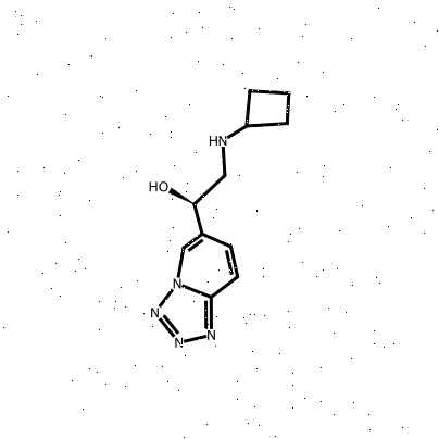 O[C@@H](CNC1CCC1)c1ccc2nnnn2c1